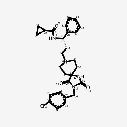 O=C(N[C@@H](CCN1CCC2(CC1)NC(=O)N(Cc1ccc(Cl)cc1)C2=O)c1ccccc1)C1CC1